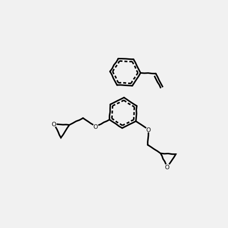 C=Cc1ccccc1.c1cc(OCC2CO2)cc(OCC2CO2)c1